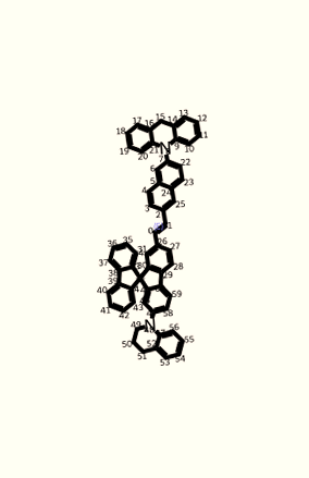 C(=C\c1ccc2cc(N3c4ccccc4Cc4ccccc43)ccc2c1)/c1ccc2c(c1)C1(c3ccccc3-c3ccccc31)c1cc(N3CCCc4ccccc43)ccc1-2